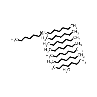 CCCCCCC.CCCCCCC.CCCCCCC.CCCCCCC.CCCCCCC.CCCCCCC.CCCCCCC.CCCCCCC.O